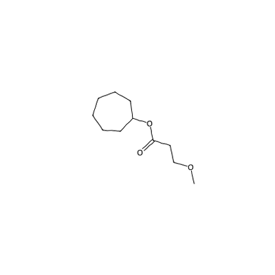 COCCC(=O)OC1CCCCCC1